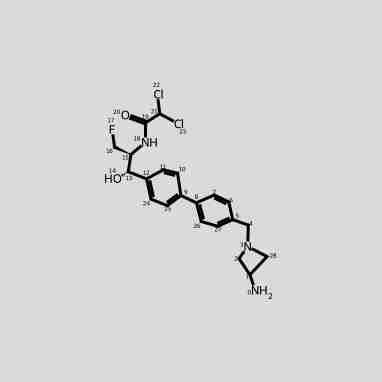 NC1CN(Cc2ccc(-c3ccc([C@H](O)[C@@H](CF)NC(=O)C(Cl)Cl)cc3)cc2)C1